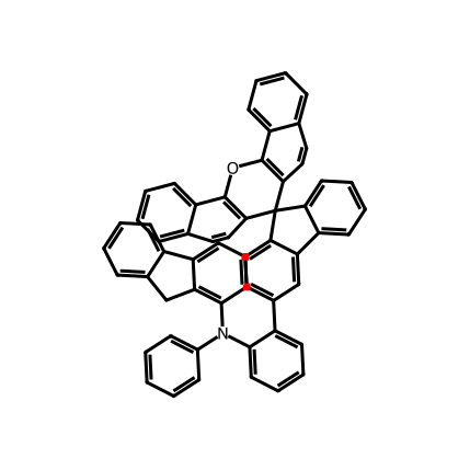 c1ccc(N(c2ccccc2-c2ccc3c(c2)-c2ccccc2C32c3ccc4ccccc4c3Oc3c2ccc2ccccc32)c2cccc3c2Cc2ccccc2-3)cc1